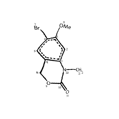 COc1cc2c(cc1Br)COC(=O)N2C